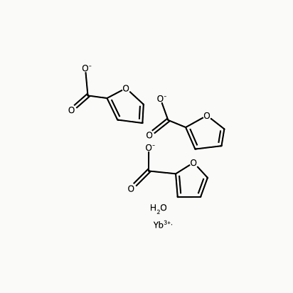 O.O=C([O-])c1ccco1.O=C([O-])c1ccco1.O=C([O-])c1ccco1.[Yb+3]